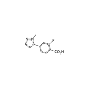 Cn1nccc1-c1ccc(C(=O)O)c(F)c1